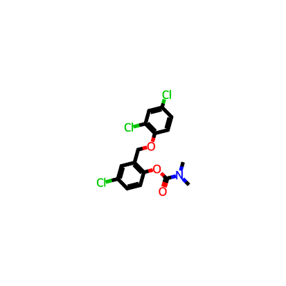 CN(C)C(=O)Oc1ccc(Cl)cc1COc1ccc(Cl)cc1Cl